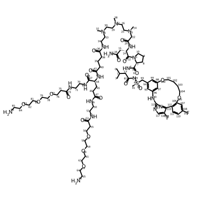 CC(C)[C@H](NC(=O)[C@@H]1CCCN1C(=O)[C@H](CC(N)=O)NC(=O)CN(C)CCN(C)CCN(C)CCNC(=O)CCCC(=O)N[C@@H](CCC(=O)NCCNC(=O)CCOCCOCCOCCN)C(=O)NCCNC(=O)CCOCCOCCOCCN)C(=O)N=[S@@](C)(=O)Cc1cc2cc(c1)OCCCCOc1cc(F)ccc1-c1nc(ncc1F)N2